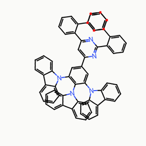 c1ccc(-c2ccccc2-c2cc(-c3cc(-n4c5ccccc5c5ccccc54)c(-n4c5ccccc5c5ccccc54)c(-n4c5ccccc5c5ccccc54)c3)nc(-c3ccccc3-c3ccccc3)n2)cc1